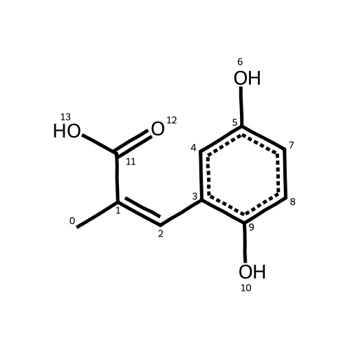 CC(=Cc1cc(O)ccc1O)C(=O)O